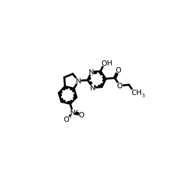 CCOC(=O)c1cnc(N2CCc3ccc([N+](=O)[O-])cc32)nc1O